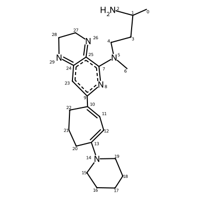 CC(N)CCN(C)c1nc(C2=CC=C(N3CCCCC3)CCC2)cc2c1=NCCN=2